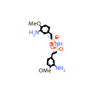 COc1ccc(/C=C/S(=O)(=O)NS(=O)(=O)/C=C/c2ccc(OC)c(N)c2)cc1N